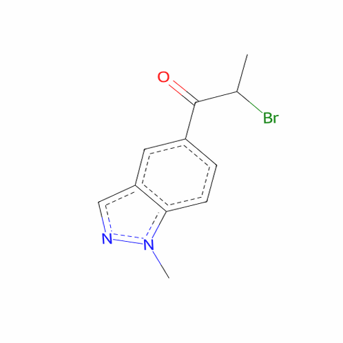 CC(Br)C(=O)c1ccc2c(cnn2C)c1